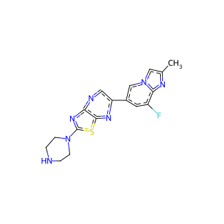 Cc1cn2cc(-c3cnc4nc(N5CCNCC5)sc4n3)cc(F)c2n1